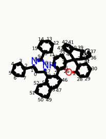 C1=C(c2ccccc2)N=C(c2ccccc2)NC1c1c(-c2cccc3c2Oc2ccccc2C32c3ccccc3-c3ccccc32)ccc2ccccc12